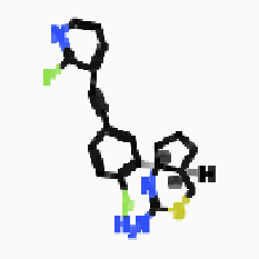 NC1=N[C@@]2(c3cc(C#Cc4cccnc4F)ccc3F)CCC[C@H]2CS1